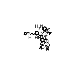 CN(Cc1cc(N)ccc1S(=O)(=O)C1CC1)C(=O)C(Nc1ccc2c(N(C(=O)OC(C)(C)C)C(=O)OC(C)(C)C)ncc(F)c2c1)c1cccc(CCNCC2CCC2)c1